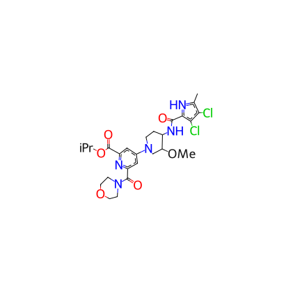 COC1CN(c2cc(C(=O)OC(C)C)nc(C(=O)N3CCOCC3)c2)CCC1NC(=O)c1[nH]c(C)c(Cl)c1Cl